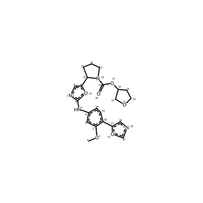 COc1cc(Nc2ncc(C3CCCN3C(=O)OC3CCOC3)o2)ccc1-c1cnco1